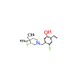 C=Cc1cc(F)c(CN2CCC(CC#N)(C(C)(C)C)C(F)C2)cc1O